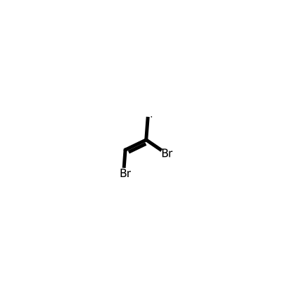 [CH2]C(Br)=CBr